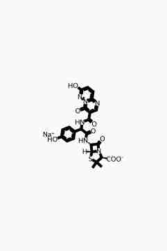 CC1(C)S[C@@H]2[C@H](NC(=O)C(NC(=O)c3cnc4ccc(O)nn4c3=O)c3ccc(O)cc3)C(=O)N2[C@H]1C(=O)[O-].[Na+]